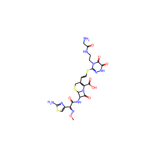 CON=C(C(=O)NC1C(=O)N2C(C(=O)O)=C(C=CSc3n[nH]c(=O)c(=O)n3CCNC(=O)CN)CSC12)c1csc(N)n1